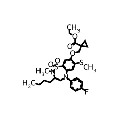 CCCCC1CN(c2ccc(F)cc2)c2cc(SC)c(OCC3(C(=O)OCC)CC3)cc2S(=O)(=O)N1C